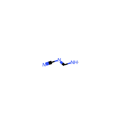 N#CN=C[NH]